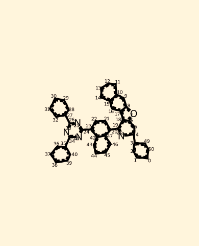 c1ccc(-c2cc3oc4cc5ccccc5cc4c3c(-c3ccc(-c4nc(-c5ccccc5)nc(-c5ccccc5)n4)c4ccccc34)n2)cc1